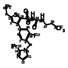 CC(C)Cc1cc(-c2ccc(Cn3ccnc3C(C)C)c(F)c2)c(S(=O)(=O)NC(=O)NCCC(F)(F)F)s1